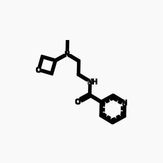 CN(CCNC(=O)c1cccnc1)C1COC1